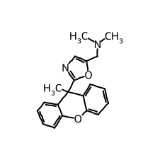 CN(C)Cc1cnc(C2(C)c3ccccc3Oc3ccccc32)o1